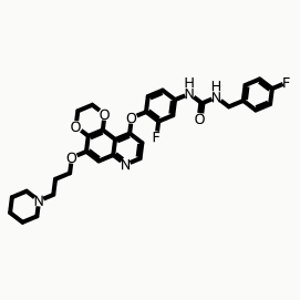 O=C(NCc1ccc(F)cc1)Nc1ccc(Oc2ccnc3cc(OCCCN4CCCCC4)c4c(c23)OCCO4)c(F)c1